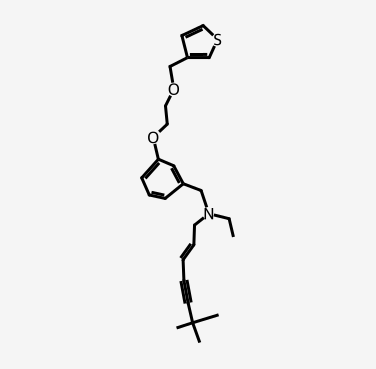 CCN(C/C=C/C#CC(C)(C)C)Cc1cccc(OCCOCc2ccsc2)c1